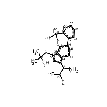 CC(C)(C)Cn1cc(C(N)C(F)F)c2ccc(-c3cccnc3C(F)(F)F)cc21